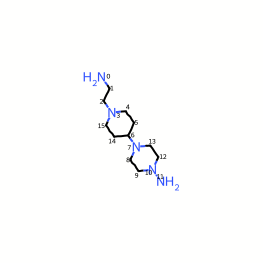 NCCN1CCC(N2CCN(N)CC2)CC1